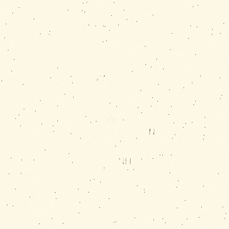 Cc1ccc2nc(N[C@H](C)c3ccccc3)oc(=O)c2c1